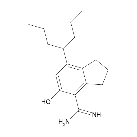 CCCC(CCC)c1cc(O)c(C(=N)N)c2c1CCC2